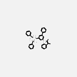 Cc1c(C)n(-c2cc(-c3ccccc3)cc(-c3nc(-c4ccccc4)nc(-c4ccccc4)n3)c2)c2ccccc12